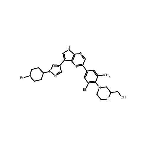 CCc1cc(-c2cnc3[nH]cc(-c4cnn(C5CCN(CC)CC5)c4)c3n2)cc(C)c1N1CCOC(CO)C1